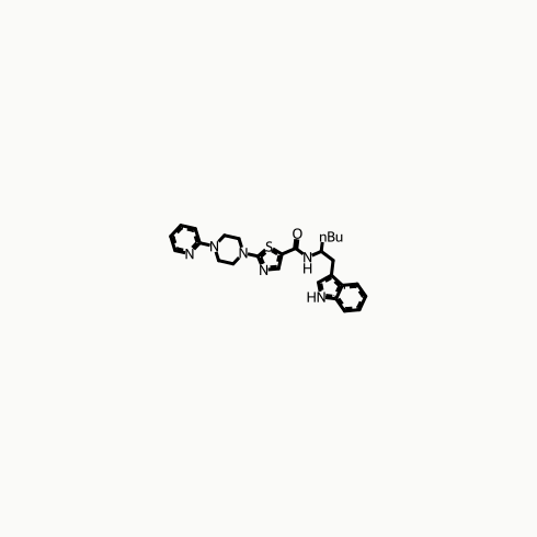 CCCCC(Cc1c[nH]c2ccccc12)NC(=O)c1cnc(N2CCN(c3ccccn3)CC2)s1